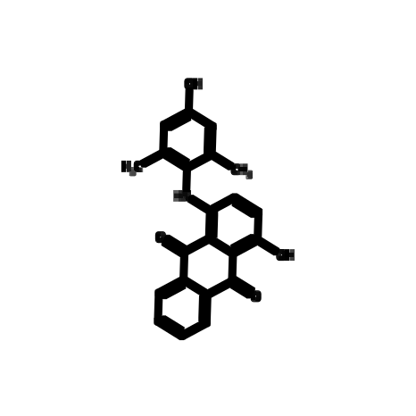 Cc1cc(O)cc(C)c1Nc1ccc(O)c2c1C(=O)c1ccccc1C2=O